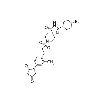 CCC1CCC(C2=NC3(CCN(S(=O)(=O)CCc4ccc(N5CC(=O)NC5=O)cc4C)CC3)C(=O)N2)CC1